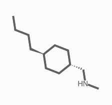 CCCC[C@H]1CC[C@H](CNC)CC1